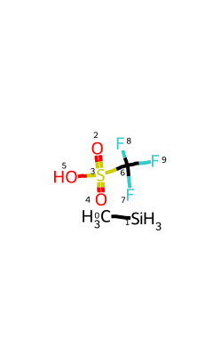 C[SiH3].O=S(=O)(O)C(F)(F)F